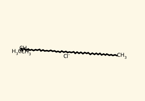 CCCCCCCCCCCCCCCCCCCCCCCCCCCCCCCCCCCCCCCCCCCCCCCCCCC[P+](C)(C)C.[Cl-]